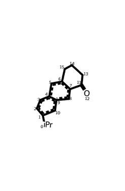 CC(C)c1ccc2cc3c(cc2c1)C(=O)CCC3